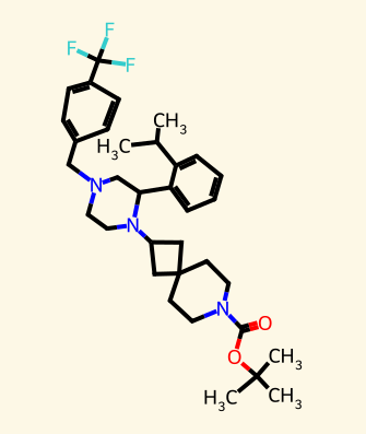 CC(C)c1ccccc1C1CN(Cc2ccc(C(F)(F)F)cc2)CCN1C1CC2(CCN(C(=O)OC(C)(C)C)CC2)C1